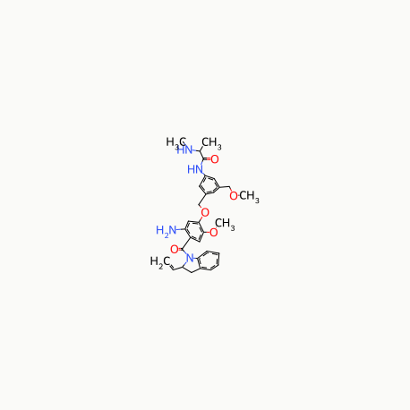 C=CC1Cc2ccccc2N1C(=O)c1cc(OC)c(OCc2cc(COC)cc(NC(=O)C(C)NC)c2)cc1N